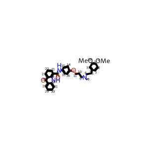 COc1ccc(CCN(C)CCCOc2ccc(NC(=O)c3cccc4c(=O)c5ccccc5[nH]c34)cc2)cc1OC